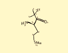 CCC(C)(C)C(=O)[C@H](N)CCSC